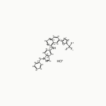 Cl.FC(F)(F)c1nnc(-c2ccc3ncnc(Nc4ccc5c(cnn5Cc5ccccc5)c4)c3c2)o1